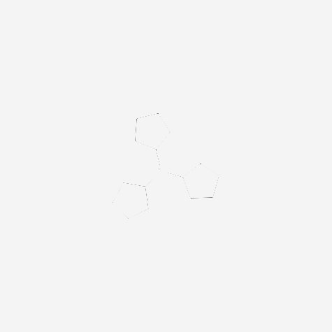 C1CCC([As](C2CCCC2)C2CCCC2)C1